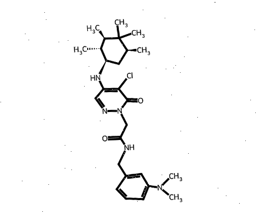 C[C@@H]1[C@@H](C)C(C)(C)[C@@H](C)C[C@H]1Nc1cnn(CC(=O)NCc2cccc(N(C)C)c2)c(=O)c1Cl